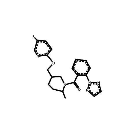 CC1CCC(COc2ccc(F)cn2)CN1C(=O)c1ccccc1-n1nccn1